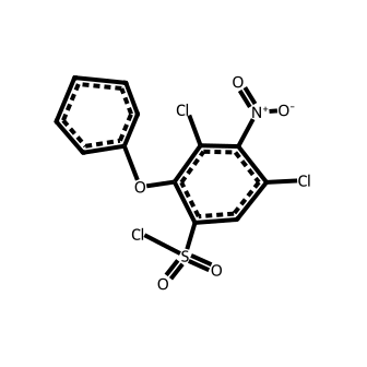 O=[N+]([O-])c1c(Cl)cc(S(=O)(=O)Cl)c(Oc2ccccc2)c1Cl